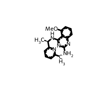 COc1cccc2nc(N)nc(N[C@H](C)c3cccc(C)n3)c12